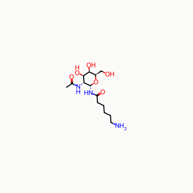 CC(=O)N[C@@H]1[C@@H](O)[C@@H](O)[C@@H](CO)O[C@@H]1NC(=O)CCCCCN